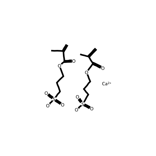 C=C(C)C(=O)OCCCS(=O)(=O)[O-].C=C(C)C(=O)OCCCS(=O)(=O)[O-].[Ca+2]